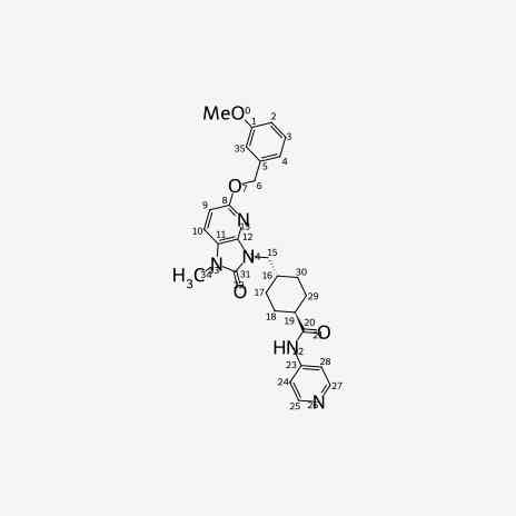 COc1cccc(COc2ccc3c(n2)n(C[C@H]2CC[C@H](C(=O)Nc4ccncc4)CC2)c(=O)n3C)c1